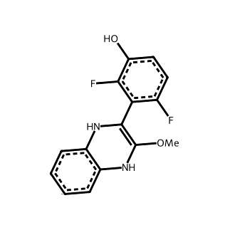 COC1=C(c2c(F)ccc(O)c2F)Nc2cc[c]cc2N1